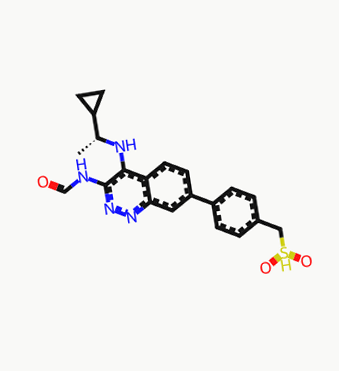 C[C@@H](Nc1c(NC=O)nnc2cc(-c3ccc(C[SH](=O)=O)cc3)ccc12)C1CC1